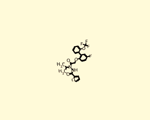 CC(C)N(NC(=O)c1ccco1)C(=O)COc1ccc(F)cc1-c1ccccc1OC(F)(F)F